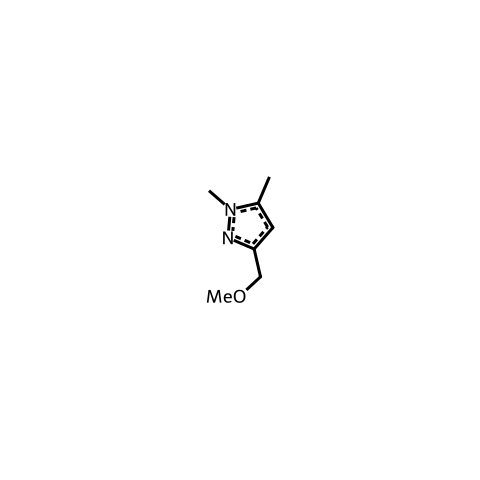 COCc1cc(C)n(C)n1